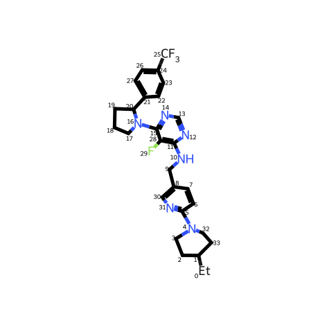 CCC1CCN(c2ccc(CNc3ncnc(N4CCCC4c4ccc(C(F)(F)F)cc4)c3F)cn2)CC1